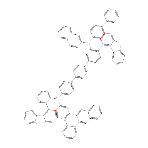 c1ccc(-c2ccc(N(c3ccc4ccccc4c3)c3cc(-c4ccc(-c5ccc(N(c6ccc(-c7ccccc7-c7ccc8ccccc8c7)cc6)c6ccccc6-c6cccc7oc8ccccc8c67)cc5)cc4)ccc3-c3cccc4oc5ccccc5c34)cc2)cc1